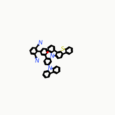 N#Cc1cccc(C#N)c1-c1cccc(-c2ccc(-n3c4ccccc4c4ccccc43)cc2-n2c3ccccc3c3c4sc5ccccc5c4ccc32)c1